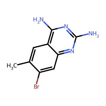 Cc1cc2c(N)nc(N)nc2cc1Br